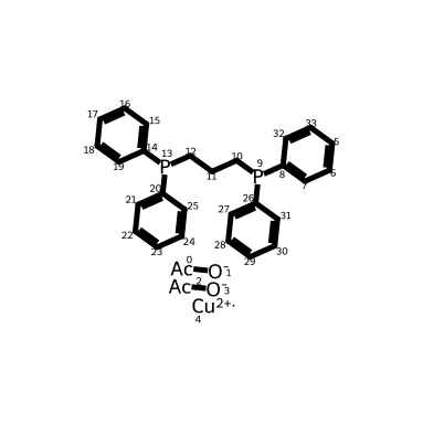 CC(=O)[O-].CC(=O)[O-].[Cu+2].c1ccc(P(CCCP(c2ccccc2)c2ccccc2)c2ccccc2)cc1